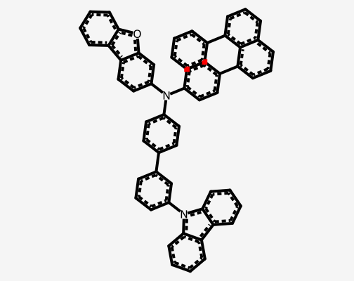 c1ccc(-c2cccc3cccc(-c4ccc(N(c5ccc(-c6cccc(-n7c8ccccc8c8ccccc87)c6)cc5)c5ccc6c(c5)oc5ccccc56)cc4)c23)cc1